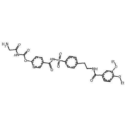 CCOc1ccc(C(=O)NCCc2ccc(S(=O)(=O)NC(=O)c3ccc(OC(=O)NC(=O)CN)nc3)cc2)cc1OCC